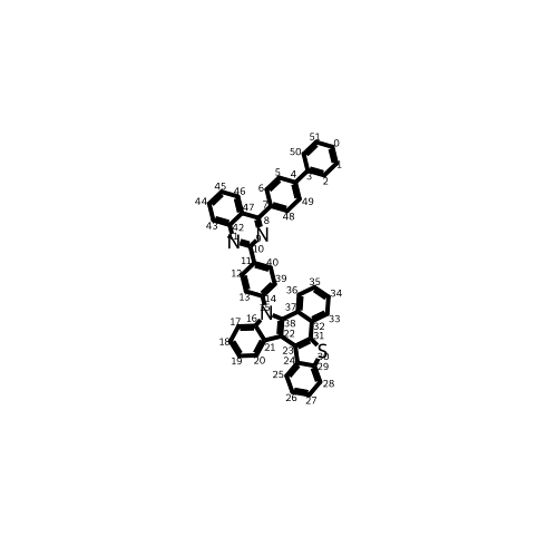 c1ccc(-c2ccc(-c3nc(-c4ccc(-n5c6ccccc6c6c7c8ccccc8sc7c7ccccc7c65)cc4)nc4ccccc34)cc2)cc1